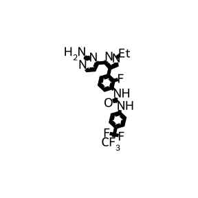 CCn1cc(-c2cccc(NC(=O)Nc3ccc(C(F)(F)C(F)(F)F)cc3)c2F)c(-c2ccnc(N)n2)n1